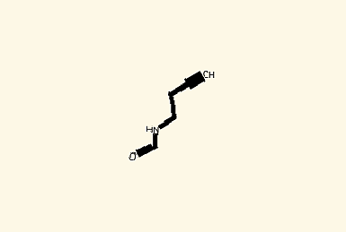 C#CCCN[C]=O